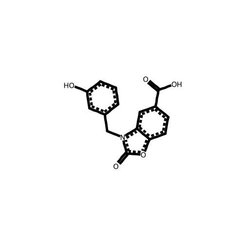 O=C(O)c1ccc2oc(=O)n(Cc3cccc(O)c3)c2c1